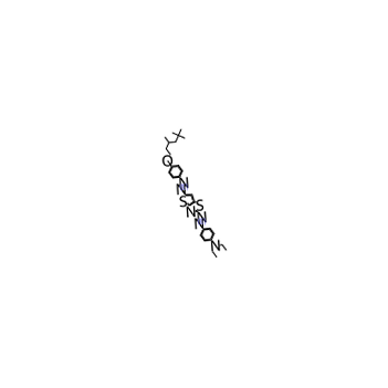 CCN(CC)c1ccc(/N=N/c2nc3sc(/N=N/c4ccc(OCCC(C)CC(C)(C)C)cc4)cc3s2)cc1